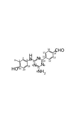 Cc1cc(Nc2nc(N)nc(-c3ccc(C=O)cc3)n2)ccc1O